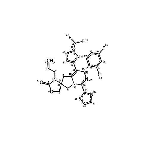 C=CCN1C(=O)OC[C@]12CC1=C(c3ccn(C(F)F)n3)[C@H](c3ccc(F)cc3Cl)N=C(c3nccs3)N1C2